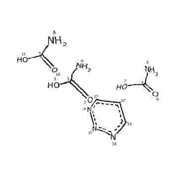 NC(=O)O.NC(=O)O.NC(=O)O.c1cnnnc1